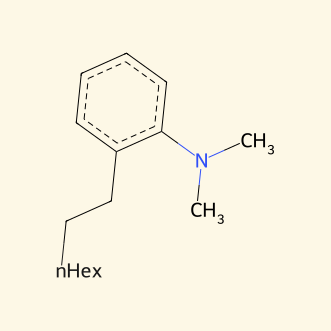 CCCCCCCCc1ccccc1N(C)C